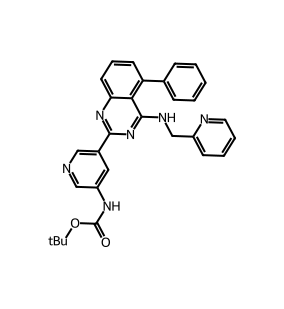 CC(C)(C)OC(=O)Nc1cncc(-c2nc(NCc3ccccn3)c3c(-c4ccccc4)cccc3n2)c1